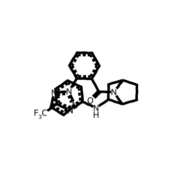 O=C(c1ccccc1-n1nccn1)N1C2CCC1C(Nc1cccc(C(F)(F)F)n1)C2